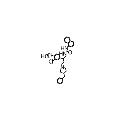 Cl.O=C(NCC(CCN1CCC(Cc2ccccc2)CC1)c1ccc(Cl)c(Cl)c1)Nc1cccc2ccccc12